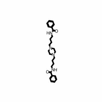 O=C(NCCCCN1CCN(CCCCNC(=O)c2ccccc2)CC1)c1ccccc1